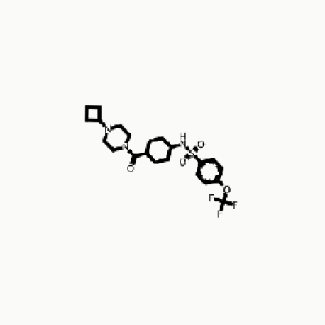 O=C(C1CCC(NS(=O)(=O)c2ccc(OC(F)(F)F)cc2)CC1)N1CCN(C2CCC2)CC1